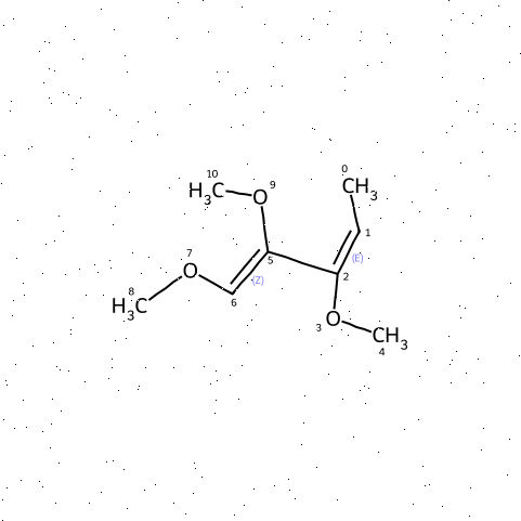 C/C=C(OC)\C(=C\OC)OC